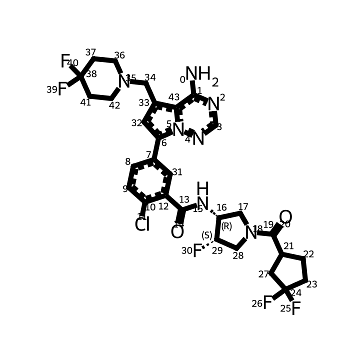 Nc1ncnn2c(-c3ccc(Cl)c(C(=O)N[C@@H]4CN(C(=O)C5CCC(F)(F)C5)C[C@@H]4F)c3)cc(CN3CCC(F)(F)CC3)c12